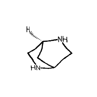 C1N[C@@H]2CNC1C2